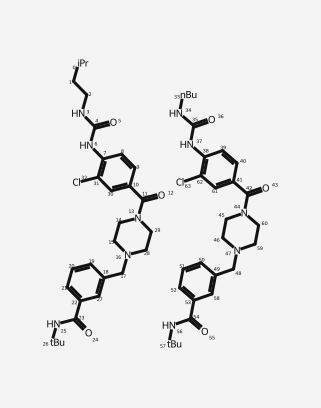 CC(C)CCNC(=O)Nc1ccc(C(=O)N2CCN(Cc3cccc(C(=O)NC(C)(C)C)c3)CC2)cc1Cl.CCCCNC(=O)Nc1ccc(C(=O)N2CCN(Cc3cccc(C(=O)NC(C)(C)C)c3)CC2)cc1Cl